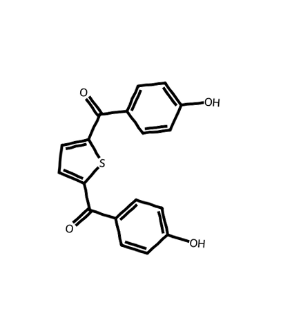 O=C(c1ccc(O)cc1)c1ccc(C(=O)c2ccc(O)cc2)s1